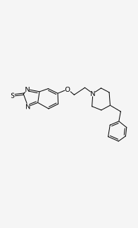 S=C1N=c2ccc(OCCN3CCC(Cc4ccccc4)CC3)cc2=N1